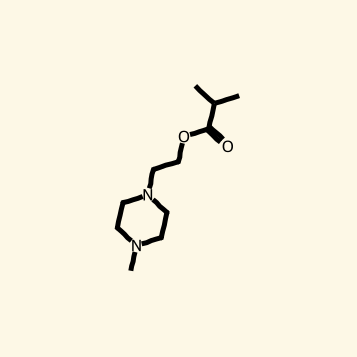 CC(C)C(=O)OCCN1CCN(C)CC1